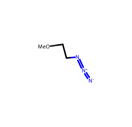 [11CH3]OCCN=[N+]=[N-]